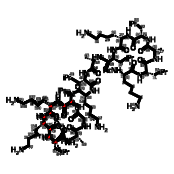 CC(=O)N[C@@H](CCCCN)C(=O)N[C@@H](CC(C)C)C(=O)N[C@@H](C)C(=O)N[C@@H](CC(C)C)C(=O)N[C@@H](CCCCN)C(=O)N[C@@H](CC(C)C)C(=O)N[C@@H](C)C(=O)N[C@@H](CC(C)C)C(=O)N[C@@H](CCCCN)C(=O)N[C@@H](C)C(=O)N[C@@H](CC(C)C)C(=O)N[C@@H](CCCCN)C(=O)N[C@@H](CC(C)C)C(=O)N[C@@H](C)C(=O)N[C@@H](C)C(=O)N[C@@H](CC(C)C)C(=O)N[C@@H](CCCCN)C(=O)N[C@@H](CC(C)C)C(=O)N[C@@H](C)C(N)=O